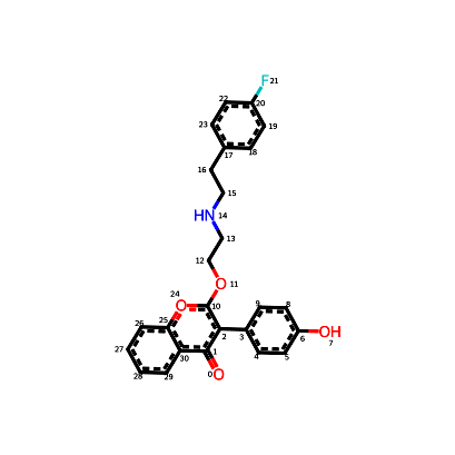 O=c1c(-c2ccc(O)cc2)c(OCCNCCc2ccc(F)cc2)oc2ccccc12